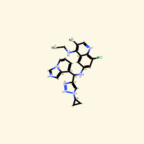 CC(C)(C)CNc1c(C#N)cnc2c(Cl)cc(NC(c3cn(C4CC4)nn3)c3cccn4cncc34)cc12